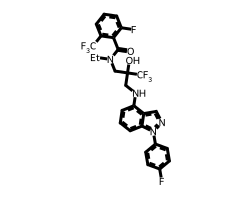 CCN(CC(O)(CNc1cccc2c1cnn2-c1ccc(F)cc1)C(F)(F)F)C(=O)c1c(F)cccc1C(F)(F)F